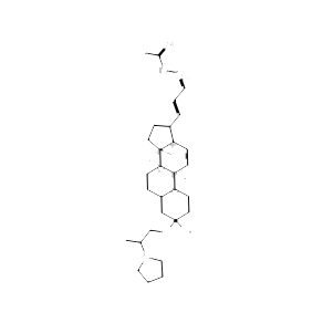 CC(COC1(O)CC[C@@]2(C)C(CC[C@@H]3[C@H]2CC[C@]2(C)C(C=C/C=N\NC(=N)N)CC[C@@]32O)C1)N1CCCC1